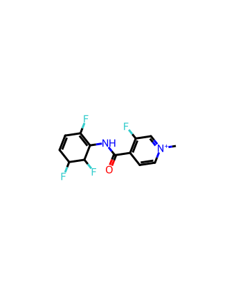 C[n+]1ccc(C(=O)NC2=C(F)C=CC(F)C2F)c(F)c1